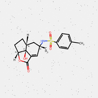 Cc1ccc(S(=O)(=O)N[C@]2(C)C=C3C(=O)O[C@@H]4CC[C@H](C2)[C@]34O)cc1